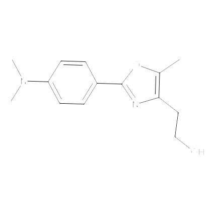 Cc1oc(-c2ccc(N(C)C)cc2)nc1CCO